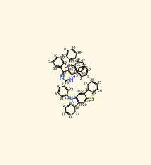 c1ccc(-c2nc(-c3cccc(-n4c5ccccc5c5cc6sc7ccccc7c6cc54)c3)nc3c2[Si](c2ccccc2)(c2ccccc2)c2ccccc2-3)cc1